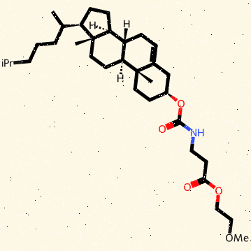 COCCOC(=O)CCNC(=O)O[C@H]1CC[C@@]2(C)C(=CC[C@H]3[C@@H]4CC[C@H](C(C)CCCC(C)C)[C@@]4(C)CC[C@@H]32)C1